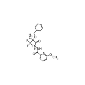 COc1cccc(C(=O)NNC(=O)C(C)(OCc2ccccc2)C(F)(F)F)n1